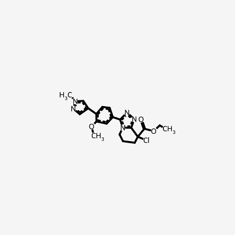 CCOC(=O)C1(Cl)CCCn2c(-c3ccc(-c4cnn(C)c4)c(OC)c3)nnc21